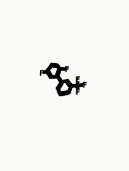 Fc1ccc(F)c(-c2cc[c]c(C(F)(F)F)c2)c1